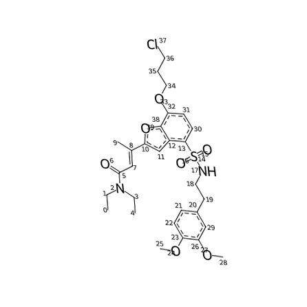 CCN(CC)C(=O)C=C(C)c1cc2c(S(=O)(=O)NCCc3ccc(OC)c(OC)c3)ccc(OCCCCl)c2o1